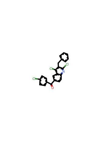 O=C(c1ccc(Cl)cc1)c1ccc2nc(Cl)c(Cc3ccccc3)c(Cl)c2c1